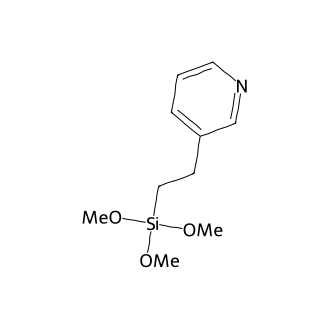 CO[Si](CCc1cccnc1)(OC)OC